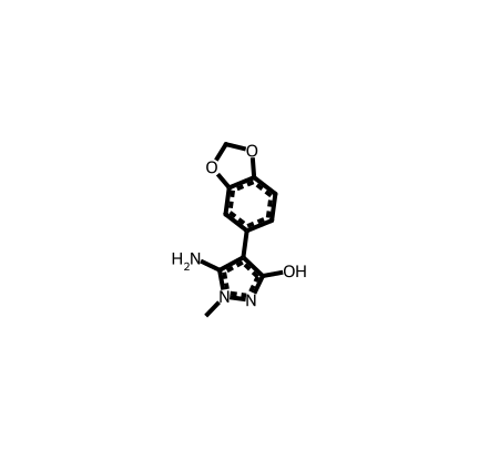 Cn1nc(O)c(-c2ccc3c(c2)OCO3)c1N